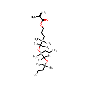 C=C(C)C(=O)OCCC[Si](C)(C)C(C)(CC)O[Si](C)(CCC(F)(F)F)C(CC)(CC)O[Si](C)(CCCC)CCC(F)(F)F